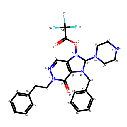 O=C(ON1c2cnn(CCc3ccccc3)c(=O)c2N(Cc2ccccc2)C1N1CCNCC1)C(F)(F)F